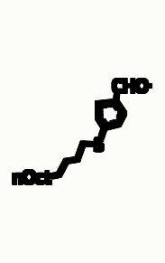 CCCCCCCCCCCCSc1ccc([C]=O)cc1